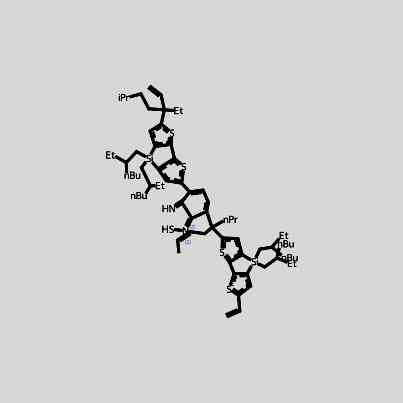 C=Cc1cc2c(s1)-c1sc(C(C/C=C\C)(CCC)C3=CC=C(c4cc5c(s4)-c4sc(C(C=C)(CC)CCC(C)C)cc4[Si]5(CC(CC)CCCC)CC(CC)CCCC)C(=N)/C3=N\S)cc1[Si]2(CC(CC)CCCC)CC(CC)CCCC